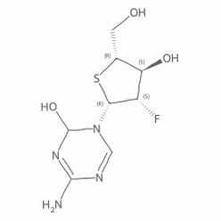 NC1=NC(O)N([C@@H]2S[C@H](CO)[C@@H](O)[C@@H]2F)C=N1